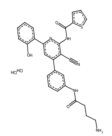 Cl.Cl.N#Cc1c(-c2cccc(NC(=O)CCCN)c2)cc(-c2ccccc2O)nc1NC(=O)c1cccs1